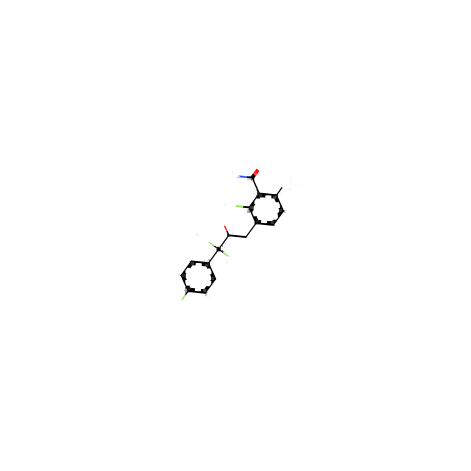 Cc1ccc(CC(O)C(F)(F)c2ccc(F)cc2)c(F)c1C(N)=O